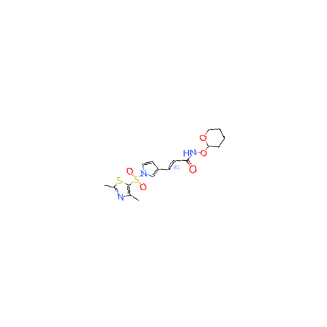 Cc1nc(C)c(S(=O)(=O)n2ccc(/C=C/C(=O)NOC3CCCCO3)c2)s1